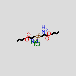 CCCCOC(=O)[C@@H](N)CSSC[C@H](N)C(=O)OCCCC.Cl.Cl